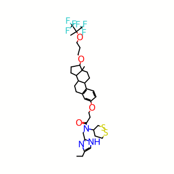 CCc1c[nH]c(CN(C(=O)CCOc2ccc3c(c2)CCC2C3CCC3(C)C(OCCCOC(C)(C(F)(F)F)C(F)(F)F)CCC23)C2CCSSC2)n1